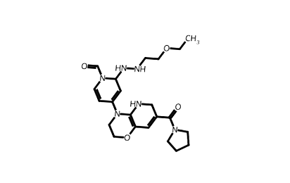 CCOCCNNC1C=C(N2CCOC3=C2NCC(C(=O)N2CCCC2)=C3)C=CN1C=O